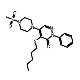 CCCCCSc1c(N2CCN(S(C)(=O)=O)CC2)cnn(-c2ccccc2)c1=O